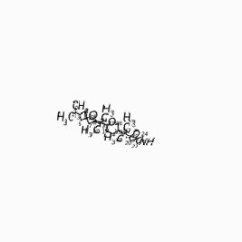 CC(C)C1CC2(C1)CC(C(C)(C)C1CCC(C(C)(C)C3CC4(CNC4)O3)CO1)O2